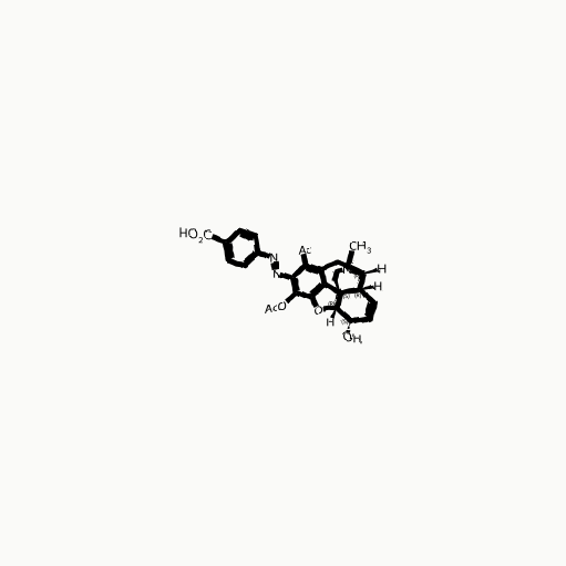 CC(=O)Oc1c(N=Nc2ccc(C(=O)O)cc2)c(C(C)=O)c2c3c1O[C@H]1[C@@H](O)C=C[C@H]4[C@@H](C2)N(C)CC[C@@]341